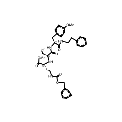 COC(=O)[C@@H](CCNC(=O)OCc1ccccc1)N[C@@H](CC(C)C)C(=O)N[C@@H](Cc1ccc(OC)cc1)C(=O)NCCc1ccccc1